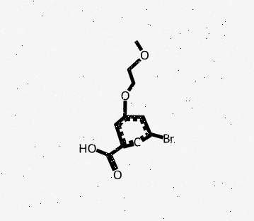 COCCOc1cc(Br)cc(C(=O)O)c1